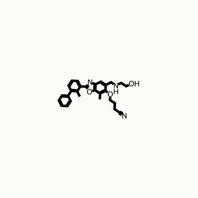 Cc1c(-c2ccccc2)cccc1-c1nc2cc(CNCCO)c(OCCCC#N)c(C)c2o1